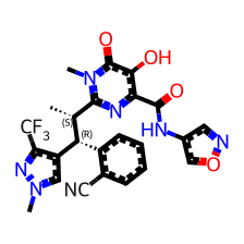 C[C@H](c1nc(C(=O)Nc2cnoc2)c(O)c(=O)n1C)[C@H](c1ccccc1C#N)c1cn(C)nc1C(F)(F)F